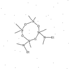 CCN(C)[Si]1(C)O[Si](C)(C)O[Si](C)(C)O[Si](C)(N(C)CC)O1